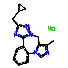 Cc1ncn2c1Cn1nc(CC3CC3)nc1-c1ccccc1-2.Cl